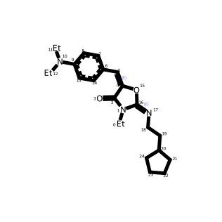 CCN1C(=O)/C(=C\c2ccc(N(CC)CC)cc2)O/C1=N/CCC1CCCC1